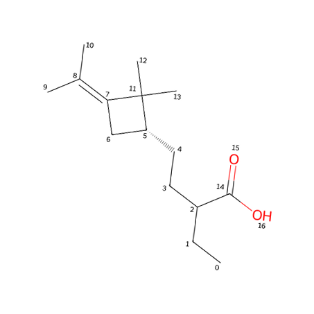 CCC(CC[C@@H]1CC(=C(C)C)C1(C)C)C(=O)O